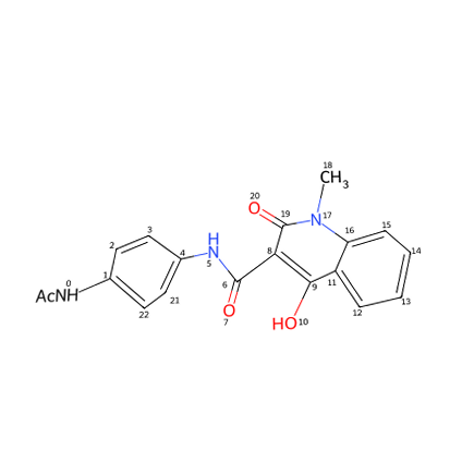 CC(=O)Nc1ccc(NC(=O)c2c(O)c3ccccc3n(C)c2=O)cc1